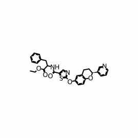 CCOC(=O)C(Cc1ccccc1)NC(=O)c1cnc(Oc2ccc3c(c2)CC[C@@H](c2cccnc2)O3)s1